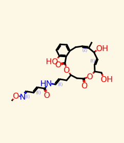 CO/N=C/C=C/C(=O)N/C=C/CC1CC(=O)OC(CO)/C=C/C(O)/C(C)=C\Cc2cccc(O)c2C(=O)O1